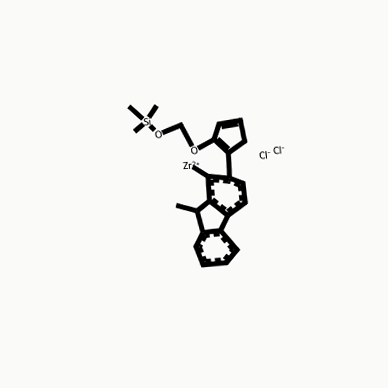 CC1c2ccccc2-c2ccc(C3=C(OCO[Si](C)(C)C)C=CC3)[c]([Zr+2])c21.[Cl-].[Cl-]